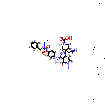 N#CCC1(n2nc(Nc3ccc(S(=O)(=O)NCc4ccccc4)cc3)c3c(=O)[nH]ccc32)CCN(C(=O)O)CC1